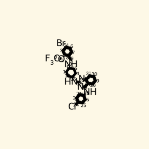 FC(F)(F)Oc1cc(Br)ccc1CN[C@H]1CC[C@@H](Nc2nc(Nc3ccc(Cl)cc3)c3ccccc3n2)CC1